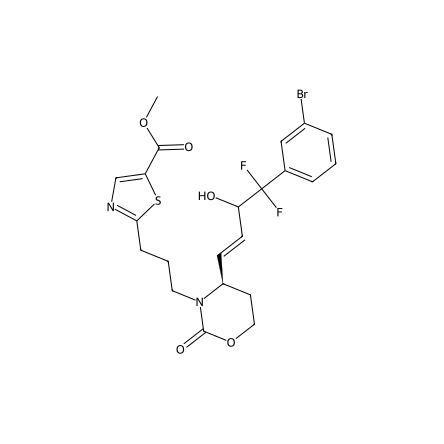 COC(=O)c1cnc(CCCN2C(=O)OCC[C@@H]2C=CC(O)C(F)(F)c2cccc(Br)c2)s1